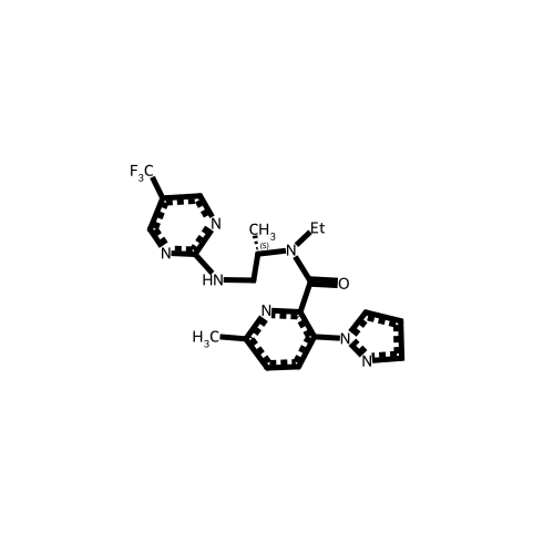 CCN(C(=O)c1nc(C)ccc1-n1cccn1)[C@@H](C)CNc1ncc(C(F)(F)F)cn1